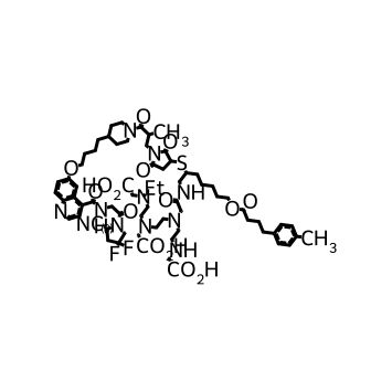 CCN(CCN(CCN(CCNCC(=O)O)CC(=O)NCC(CCCCCOC(=O)CCCc1ccc(C)cc1)SC1CC(=O)N(CC(C)C(=O)N2CCC(CCCCOc3ccc4nccc(C(=O)NCC(=O)N5CC(F)(F)C[C@@H]5C#N)c4c3)CC2)C1=O)CC(=O)O)CC(=O)O